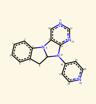 c1ccc2c(c1)CC1N2c2cncnc2N1c1ccncc1